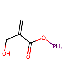 C=C(CO)C(=O)OP